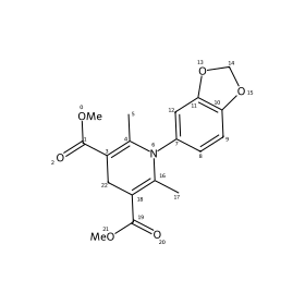 COC(=O)C1=C(C)N(c2ccc3c(c2)OCO3)C(C)=C(C(=O)OC)C1